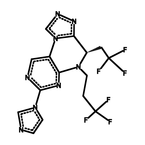 FC(F)(F)CCN1c2nc(-n3ccnc3)ncc2-n2cnnc2[C@@H]1CC(F)(F)F